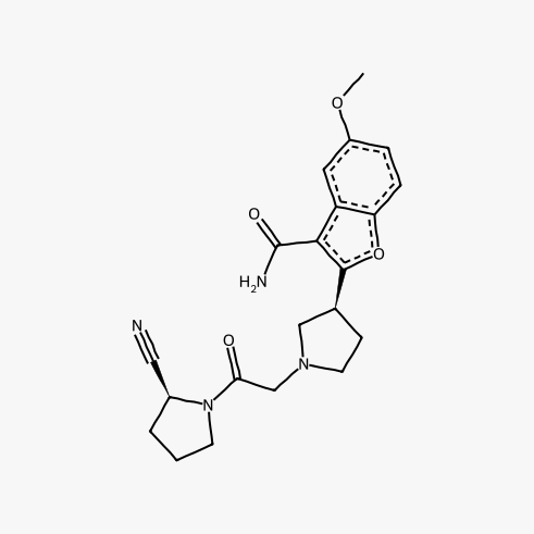 COc1ccc2oc([C@H]3CCN(CC(=O)N4CCC[C@H]4C#N)C3)c(C(N)=O)c2c1